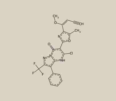 C#C/C=C(/OC)c1nc(-c2c(Cl)[nH]c3c(-c4ccccc4)c(C(F)(F)F)nn3c2=O)oc1C